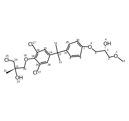 COC[C@@H](O)COc1ccc(C(C)(C)c2cc(Cl)c(OC[C@](C)(O)CCl)c(Cl)c2)cc1